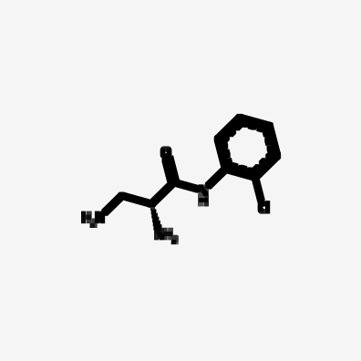 NC[C@@H](N)C(=O)Nc1ccccc1Cl